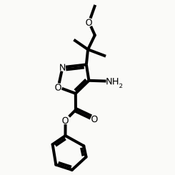 COCC(C)(C)c1noc(C(=O)Oc2ccccc2)c1N